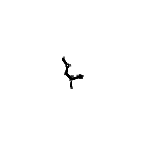 COC[C@@H](C)Br